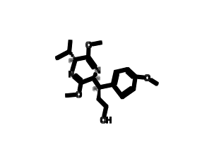 COC1=N[C@H](C(C)C)C(OC)=N[C@H]1[C@H](CCO)c1ccc(OC)cc1